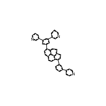 c1cncc(-c2cc(-c3cccnc3)cc(-c3ccc4ccc5c(-c6cccc(-c7ccncc7)c6)ccc6ccc3c4c65)c2)c1